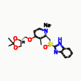 Cc1c(OC[C@@H]2COC(C)(C)O2)ccnc1C[S+]([O-])c1nc2ccccc2[nH]1.[Na]